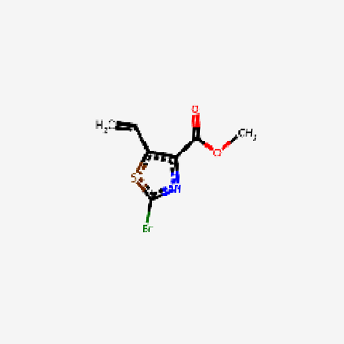 C=Cc1sc(Br)nc1C(=O)OC